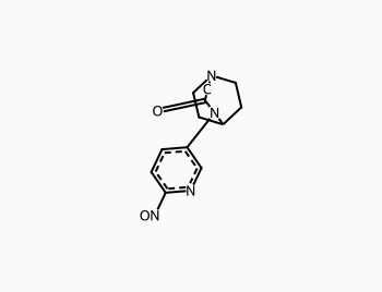 O=Nc1ccc(N2C(=O)CN3CCC2CC3)cn1